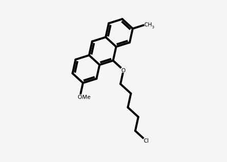 COc1ccc2cc3ccc(C)cc3c(OCCCCCCl)c2c1